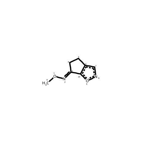 CON=C1CCc2cnoc21